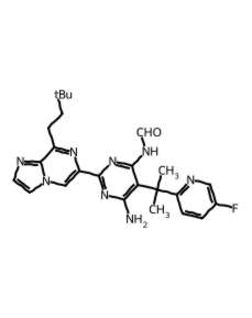 CC(C)(C)CCc1nc(-c2nc(N)c(C(C)(C)c3ccc(F)cn3)c(NC=O)n2)cn2ccnc12